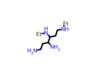 CCNCCC(NCC)C(N)CCN